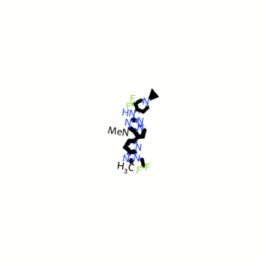 CNc1nc(N[C@@H]2CCN(C3CC3)CC2(F)F)nn2ccc(-c3ccc4nc(C)n(CC(F)F)c4n3)c12